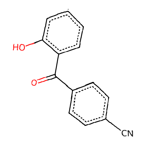 N#Cc1ccc(C(=O)c2cc[c]cc2O)cc1